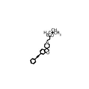 CC(C)(C)OC(=O)CCN1CCC2(CC1)COc1cc(C#Cc3ccccc3)ccc12